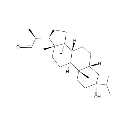 CC(C)[C@@]1(O)CC[C@@]2(C)[C@H](CC[C@@H]3[C@@H]2CC[C@]2(C)[C@@H]([C@H](C)C=O)CC[C@@H]32)C1